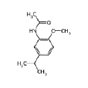 COc1ccc(C(C)C)cc1NC(C)=O